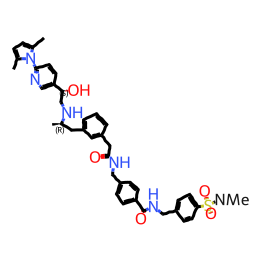 CNS(=O)(=O)c1ccc(CNC(=O)c2ccc(CNC(=O)Cc3cccc(C[C@@H](C)NC[C@@H](O)c4ccc(-n5c(C)ccc5C)nc4)c3)cc2)cc1